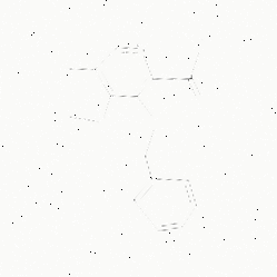 COc1c(Br)cnc(C(=O)Cl)c1OCc1ccccc1